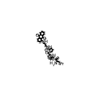 CC(C)C[C@H](NC(=O)CNC(=O)[C@@H](N)CC(C)C)C(=O)N1CCC[C@H]1C(=O)NCCCNc1cccc2c1C(=O)c1ccccc1C2=O